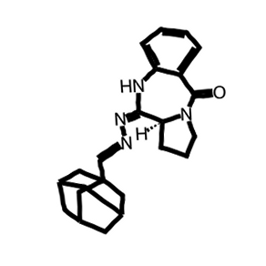 O=C1c2ccccc2N/C(=N/N=C/C23CC4CC(CC(C4)C2)C3)[C@@H]2CCCN12